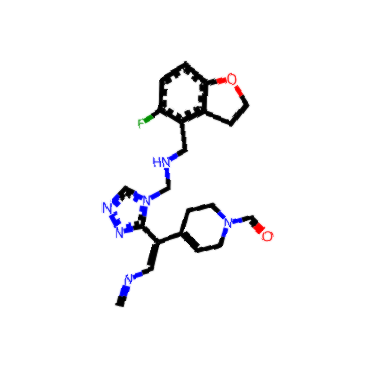 C=N/C=C(/C1=CCN(C=O)CC1)c1nncn1CNCc1c(F)ccc2c1CCO2